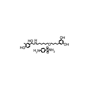 Cc1cc(C(O)CNCCCCCCOCCCCc2cc(O)cc(O)c2)ccc1O.Nc1ccc(S(N)(=O)=O)cc1